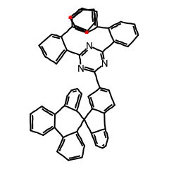 c1ccc(-c2ccccc2-c2nc(-c3ccc4c(c3)C3(c5ccccc5-c5ccccc5-c5ccccc53)c3ccccc3-4)nc(-c3ccccc3-c3ccccc3)n2)cc1